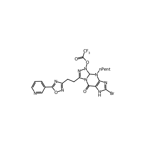 CCCCCN1c2nc(Br)[nH]c2C(=O)N2C(CCc3noc(-c4cccnc4)n3)=NN(OC(=O)C(F)(F)F)C21